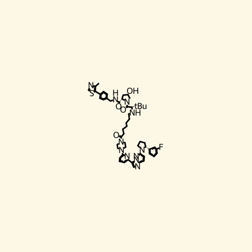 Cc1ncsc1-c1ccc(CNC(=O)[C@@H]2C[C@@H](O)CN2C(=O)[C@@H](NCCCCCCC(=O)N2CCN(c3cccc(-c4cnc5ccc(N6CCC[C@@H]6c6cccc(F)c6)nn45)n3)CC2)C(C)(C)C)cc1